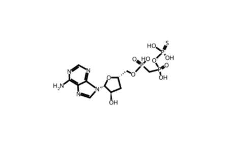 Nc1ncnc2c1ncn2[C@@H]1O[C@H](COP(=O)(O)CP(=O)(O)OP(O)(O)=S)C[C@H]1O